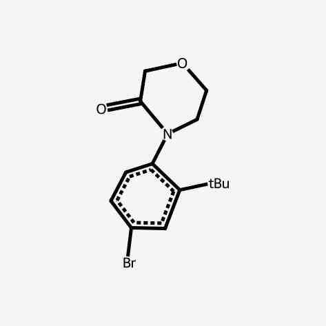 CC(C)(C)c1cc(Br)ccc1N1CCOCC1=O